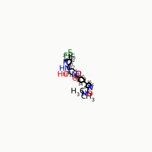 CN(C)C(=O)c1cc(-c2ccc(S(=O)(=O)N3CC[C@@H](Nc4ccc(C(F)(F)F)cn4)[C@@H](O)C3)cc2)ccn1